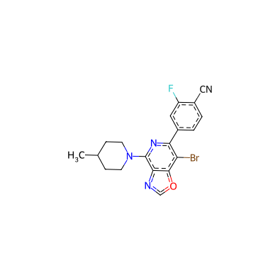 CC1CCN(c2nc(-c3ccc(C#N)c(F)c3)c(Br)c3ocnc23)CC1